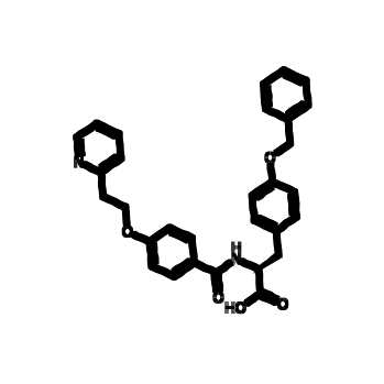 O=C(N[C@@H](Cc1ccc(OCc2ccccc2)cc1)C(=O)O)c1ccc(OCCc2ccccn2)cc1